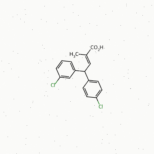 C/C(=C\C(c1ccc(Cl)cc1)c1cccc(Cl)c1)C(=O)O